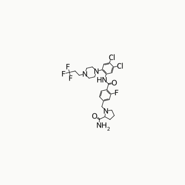 NC(=O)C1CCCN1Cc1ccc(C(=O)Nc2cc(Cl)c(Cl)cc2N2CCN(CCC(F)(F)F)CC2)c(F)c1